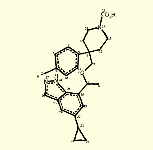 CC(OCC1(c2ccc(F)cc2)CCN(C(=O)O)CC1)c1cc(C2CC2)cc2cn[nH]c12